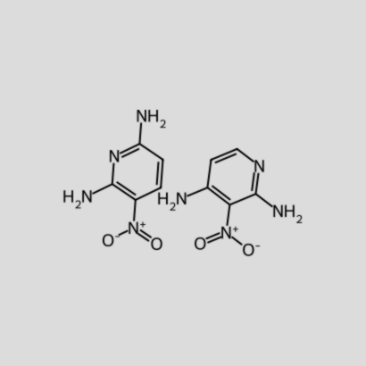 Nc1ccc([N+](=O)[O-])c(N)n1.Nc1ccnc(N)c1[N+](=O)[O-]